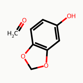 C=O.Oc1ccc2c(c1)OCO2